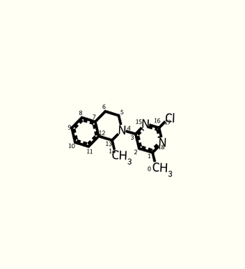 Cc1cc(N2CCc3ccccc3C2C)nc(Cl)n1